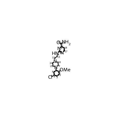 COc1ccc(Cl)cc1N1CCN(CCNc2nccc(C(N)=O)n2)CC1